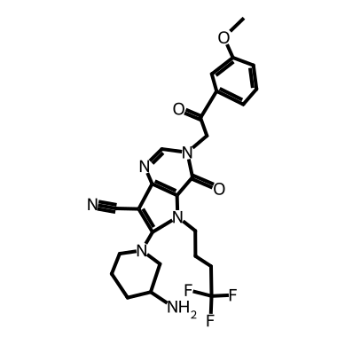 COc1cccc(C(=O)Cn2cnc3c(C#N)c(N4CCCC(N)C4)n(CCCC(F)(F)F)c3c2=O)c1